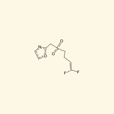 O=S(=O)(CCC=C(F)F)Cc1ncco1